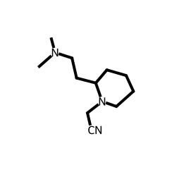 CN(C)CCC1CCCCN1CC#N